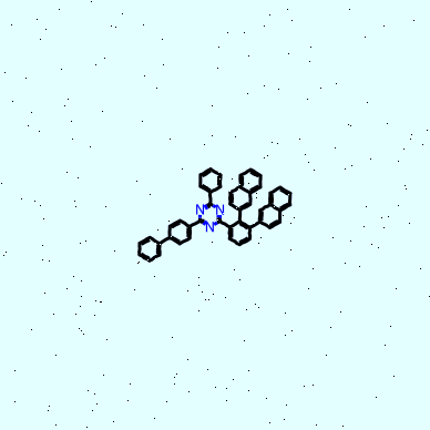 c1ccc(-c2ccc(-c3nc(-c4ccccc4)nc(-c4cccc(-c5ccc6ccccc6c5)c4-c4ccc5ccccc5c4)n3)cc2)cc1